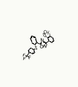 COc1ccccc1-c1noc(-c2ccccc2Sc2ccc(C(F)(F)F)cc2)n1